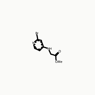 COC(=O)CNc1ccnc(Br)c1